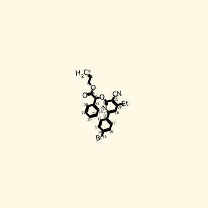 C=CCOC(=O)C(Oc1nc(-c2ccc(Br)cc2)cc(CC)c1C#N)c1ccccc1